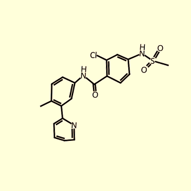 Cc1ccc(NC(=O)c2ccc(NS(C)(=O)=O)cc2Cl)cc1-c1ccccn1